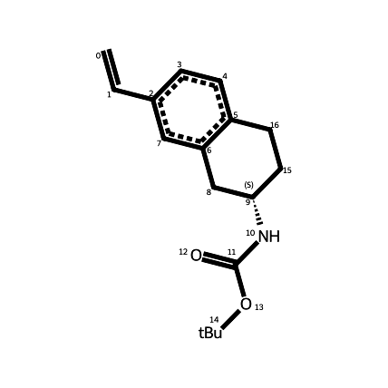 C=Cc1ccc2c(c1)C[C@@H](NC(=O)OC(C)(C)C)CC2